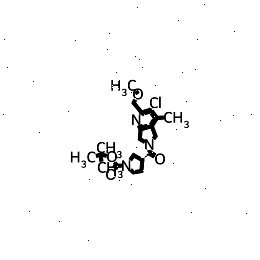 COCc1nc2c(c(C)c1Cl)CN(C(=O)[C@@H]1CCN(C(=O)OC(C)(C)C)C1)C2